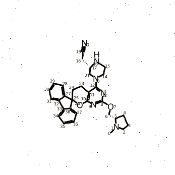 CN1CCC[C@H]1COc1nc2c(c(N3CCN[C@@H](CC#N)C3)n1)CCC1(O2)c2ccccc2-c2ccccc21